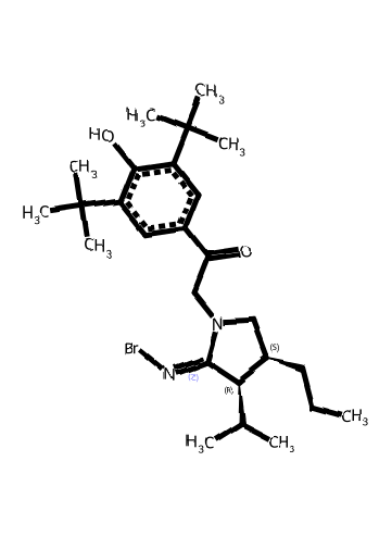 CCC[C@@H]1CN(CC(=O)c2cc(C(C)(C)C)c(O)c(C(C)(C)C)c2)/C(=N\Br)[C@@H]1C(C)C